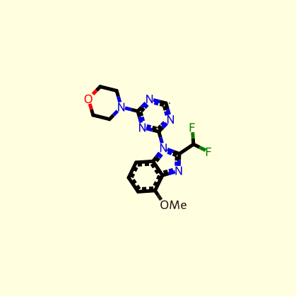 COc1cccc2c1nc(C(F)F)n2-c1n[c]nc(N2CCOCC2)n1